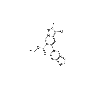 CCOC(=O)c1cn2nc(C)c(Cl)c2nc1-c1ccc2nccn2c1